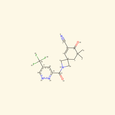 CC1(C)CC2(C=C(C#N)C1=O)CN(C(=O)c1cc(C(F)(F)F)cnn1)C2